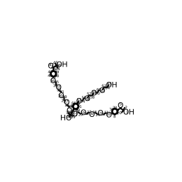 CC(C)(O)C(=O)c1ccc(OCCOCCOCCOCCOC(OCCOCCOCCOCCOc2ccc(C(=O)C(C)(C)O)cc2)(c2ccc(OCCOCCOCCOCCO)cc2)C(C)(C)O)cc1